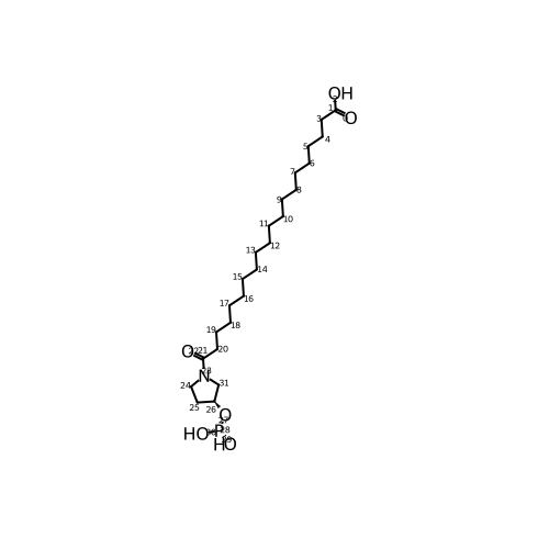 O=C(O)CCCCCCCCCCCCCCCCCCC(=O)N1CC[C@H](O[PH](=O)O)C1